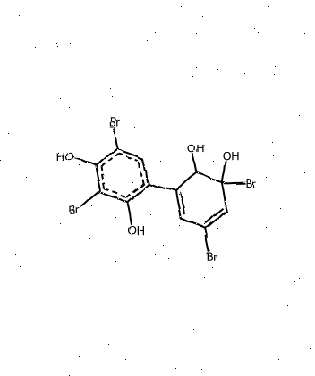 Oc1c(Br)cc(C2=CC(Br)=CC(O)(Br)C2O)c(O)c1Br